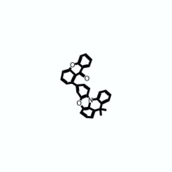 CC1(C)c2ccccc2N2c3ccc(-c4cccc5oc6ccccc6c(=O)c45)cc3Oc3cccc1c32